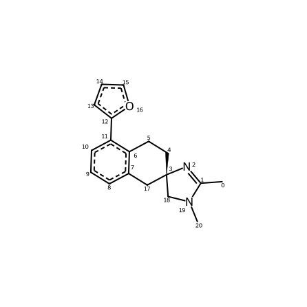 CC1=N[C@]2(CCc3c(cccc3-c3ccco3)C2)CN1C